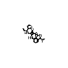 CCC(Nc1c(Nc2cccc(C(=O)N(C)C)c2O)c(=O)c1=O)c1ccsc1